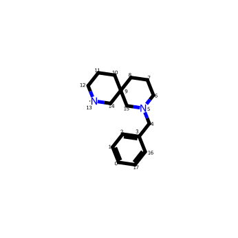 c1ccc(CN2CCCC3(CCC[N]C3)C2)cc1